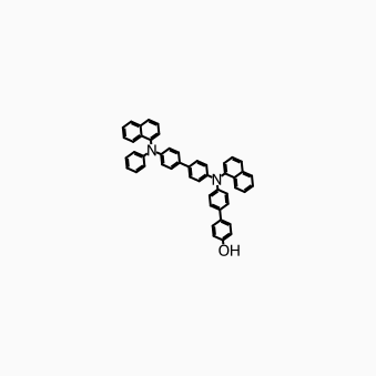 Oc1ccc(-c2ccc(N(c3ccc(-c4ccc(N(c5ccccc5)c5cccc6ccccc56)cc4)cc3)c3cccc4ccccc34)cc2)cc1